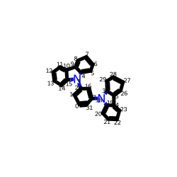 c1cc(-n2c3ccccc3c3ccccc32)cc(-n2c3ccccc3c3ccccc32)c#1